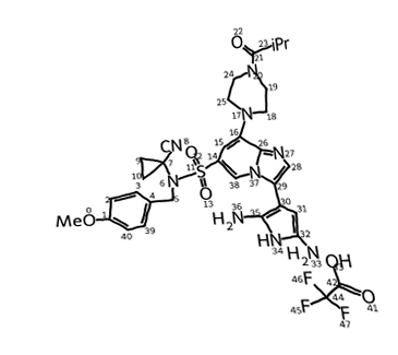 COc1ccc(CN(C2(C#N)CC2)S(=O)(=O)c2cc(N3CCN(C(=O)C(C)C)CC3)c3ncc(-c4cc(N)[nH]c4N)n3c2)cc1.O=C(O)C(F)(F)F